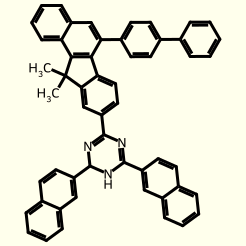 CC1(C)c2cc(C3=NC(c4ccc5ccccc5c4)NC(c4ccc5ccccc5c4)=N3)ccc2-c2c(-c3ccc(-c4ccccc4)cc3)cc3ccccc3c21